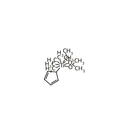 C[O][Ti]([CH3])([CH3])([CH3])([CH3])([CH3])([O]C)([O]C)[CH]1C=CC=C1